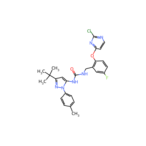 Cc1ccc(-n2nc(C(C)(C)C)cc2NC(=O)NCc2cc(F)ccc2Oc2ccnc(Cl)n2)cc1